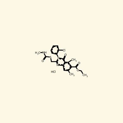 CCOC(=O)c1c(C)cc2nc(CSC(=O)NC)n(-c3ccccc3Cl)c(=O)c2c1C.Cl